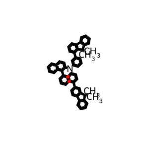 CC1(C)c2ccccc2-c2ccc(-c3ccc(N(c4cccc(-c5cccc6c5C(C)(C)c5ccccc5-6)c4)c4ccc5ccccc5c4-c4ccccc4)cc3)cc21